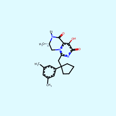 CCN1C(=O)c2c(O)c(=O)nc(CC3(c4cc(C)cc(C)c4)CCCC3)n2C[C@@H]1C